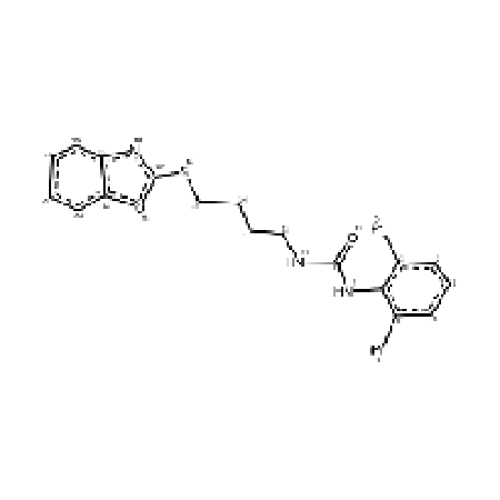 CC(C)c1cccc(C(C)C)c1NC(=O)NCCCCSc1nc2ccccc2o1